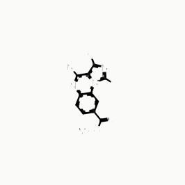 COC(=O)c1ccc2nc(N)c3c(C)nc(C)n3c2c1